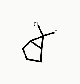 FC1(Cl)C2CCCC21